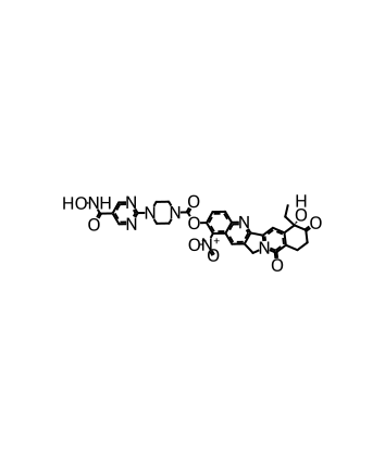 CC[C@@]1(O)C(=O)CCc2c1cc1n(c2=O)Cc2cc3c([N+](=O)[O-])c(OC(=O)N4CCN(c5ncc(C(=O)NO)cn5)CC4)ccc3nc2-1